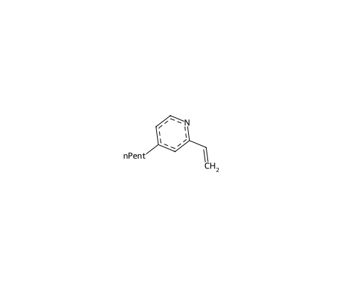 C=Cc1cc(CCCCC)ccn1